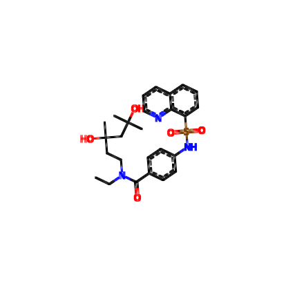 CCN(CCC(C)(O)CC(C)(C)O)C(=O)c1ccc(NS(=O)(=O)c2cccc3cccnc23)cc1